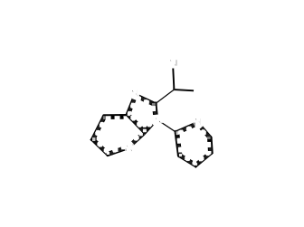 CC(N)c1nc2cccnc2n1-c1ccccn1